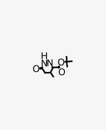 CC1CC(=O)NN=C1C(=O)OC(C)(C)C